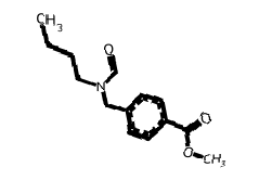 CCCCN(C=O)Cc1ccc(C(=O)OC)cc1